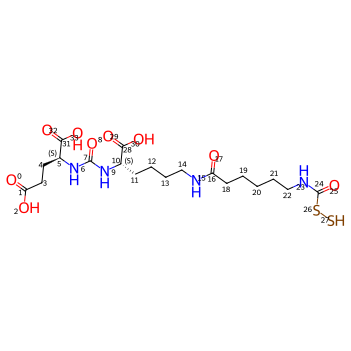 O=C(O)CC[C@H](NC(=O)N[C@@H](CCCCNC(=O)CCCCCNC(=O)SS)C(=O)O)C(=O)O